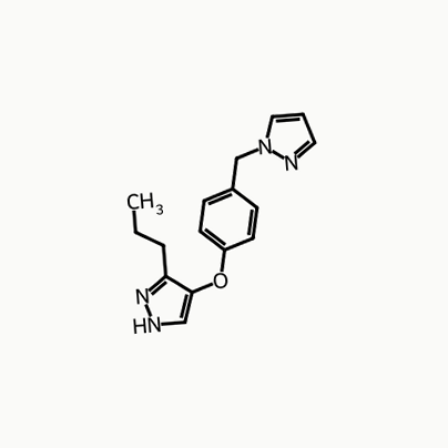 CCCc1n[nH]cc1Oc1ccc(Cn2cccn2)cc1